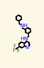 FC(F)(F)c1ccc2c(NCc3cccc(CNCc4ccccc4)c3)ccnc2c1